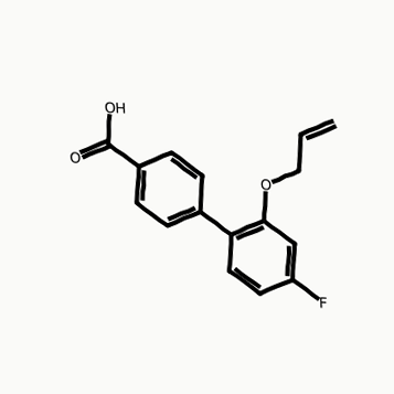 C=CCOc1cc(F)ccc1-c1ccc(C(=O)O)cc1